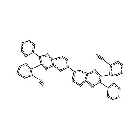 [C-]#[N+]c1ccccc1-c1nc2cc(-c3ccc4nc(-c5ccccc5)c(-c5ccccc5C#N)nc4c3)ccc2nc1-c1ccccc1